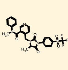 CC1C(=O)N(c2ccc(S(=O)(=O)C(F)(F)F)cc2)C(=O)N1Cc1ccncc1C(=O)N(C)c1ccccc1